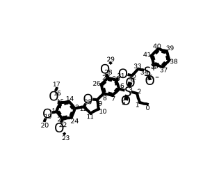 CCCS(=O)(=O)c1cc(C2CCC(c3cc(OC)c(OC)c(OC)c3)O2)cc(OC)c1OCC[S+]([O-])c1ccccc1